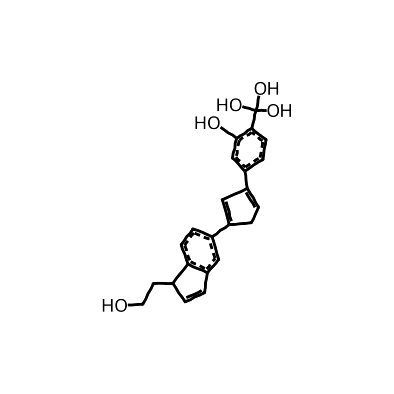 OCCC1C=Cc2cc(C3=CC(c4ccc(C(O)(O)O)c(O)c4)=CC3)ccc21